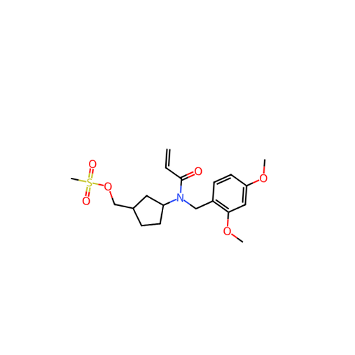 C=CC(=O)N(Cc1ccc(OC)cc1OC)C1CCC(COS(C)(=O)=O)C1